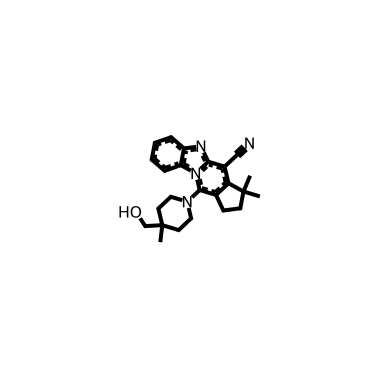 CC1(CO)CCN(c2c3c(c(C#N)c4nc5ccccc5n24)C(C)(C)CC3)CC1